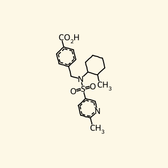 Cc1ccc(S(=O)(=O)N(Cc2ccc(C(=O)O)cc2)C2CCCCC2C)cn1